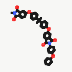 CN1C(=O)c2ccc(Oc3ccc(C(C)(C)c4ccc(Oc5ccc6c(c5)C(=O)N(c5ccc(Oc7ccccc7)cc5)C6=O)cc4)cc3)cc2C1=O